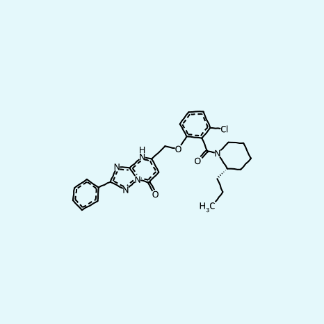 CCC[C@H]1CCCCN1C(=O)c1c(Cl)cccc1OCc1cc(=O)n2nc(-c3ccccc3)nc2[nH]1